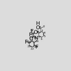 CC(O)c1cccc2c1OC(F)(F)C(=O)N2Cc1cc(F)ccc1F